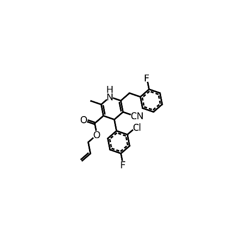 C=CCOC(=O)C1=C(C)NC(Cc2ccccc2F)=C(C#N)C1c1ccc(F)cc1Cl